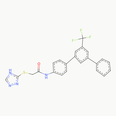 O=C(CSc1nnc[nH]1)Nc1ccc(-c2cc(-c3ccccc3)cc(C(F)(F)F)c2)cc1